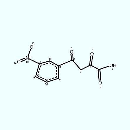 O=C(O)C(=O)CC(=O)c1cccc([N+](=O)[O-])c1